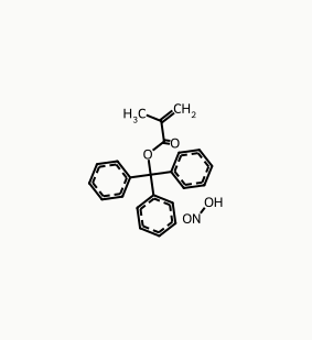 C=C(C)C(=O)OC(c1ccccc1)(c1ccccc1)c1ccccc1.O=NO